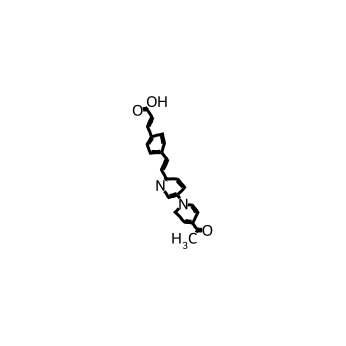 CC(=O)C1=CCN(c2ccc(C=Cc3ccc(C=CC(=O)O)cc3)nc2)C=C1